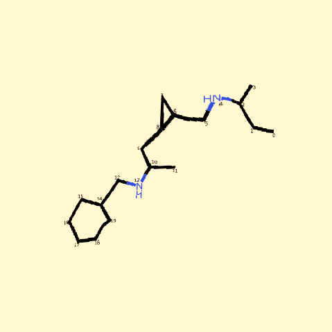 CCC(C)NCC1CC1CC(C)NCC1CCCCC1